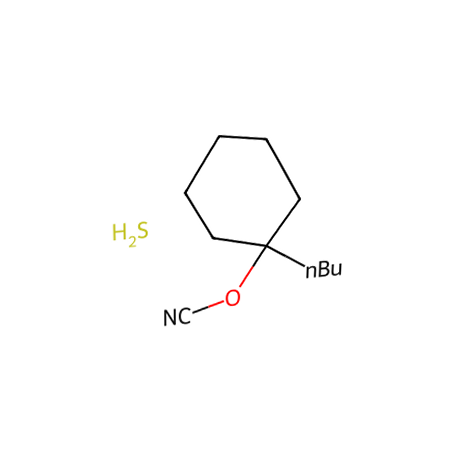 CCCCC1(OC#N)CCCCC1.S